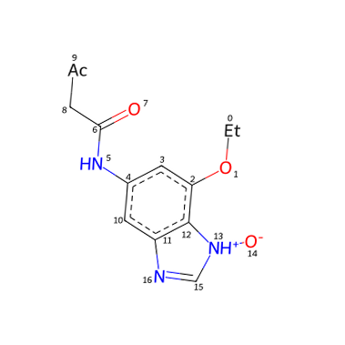 CCOc1cc(NC(=O)CC(C)=O)cc2c1[NH+]([O-])C=N2